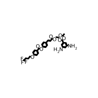 CCOC(COC(=O)/C=C/c1ccc(OC(=O)c2ccc(OCCCC(F)(F)F)cc2)cc1)OC(=O)c1cc(N)cc(N)c1